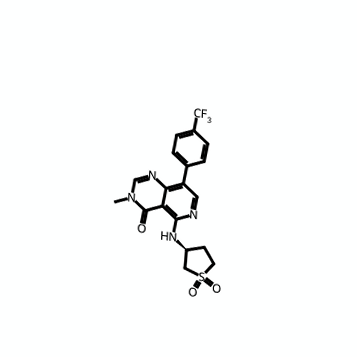 Cn1cnc2c(-c3ccc(C(F)(F)F)cc3)cnc(N[C@H]3CCS(=O)(=O)C3)c2c1=O